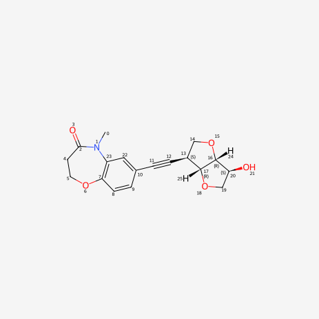 CN1C(=O)CCOc2ccc(C#C[C@H]3CO[C@H]4[C@@H]3OC[C@@H]4O)cc21